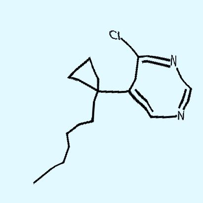 CCCCC1(c2cncnc2Cl)CC1